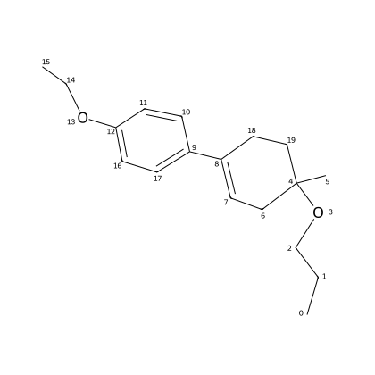 CCCOC1(C)CC=C(c2ccc(OCC)cc2)CC1